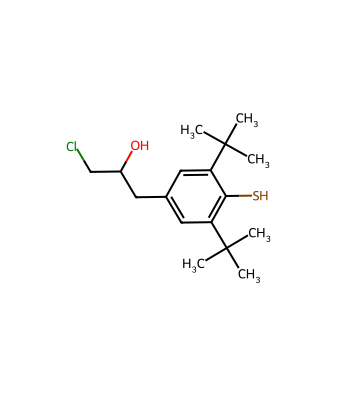 CC(C)(C)c1cc(CC(O)CCl)cc(C(C)(C)C)c1S